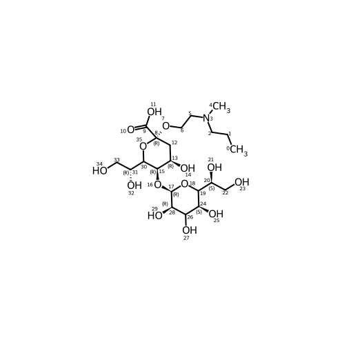 CCCN(C)CCO[C@]1(C(=O)O)C[C@@H](O)[C@@H](O[C@H]2OC([C@@H](O)CO)[C@@H](O)C(O)[C@H]2O)C([C@H](O)CO)O1